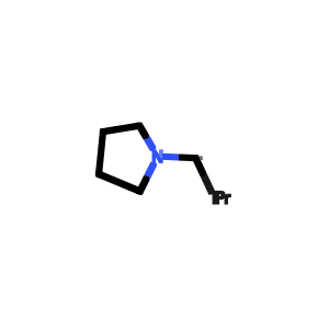 CC(C)[CH]N1CCCC1